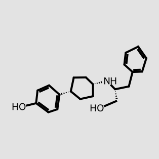 OC[C@@H](Cc1ccccc1)N[C@H]1CC[C@@H](c2ccc(O)cc2)CC1